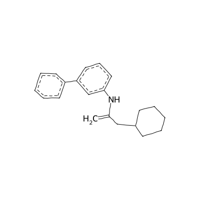 C=C(CC1CCCCC1)Nc1cccc(-c2ccccc2)c1